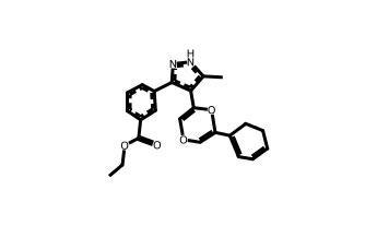 CCOC(=O)c1cccc(-c2n[nH]c(C)c2C2=COC=C(C3=CC=CCC3)O2)c1